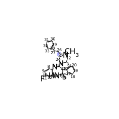 CN1CCN(C2=Nc3ccc(F)cc3Nc3sc4ccccc4c32)C/C1=C\Cc1ccccc1